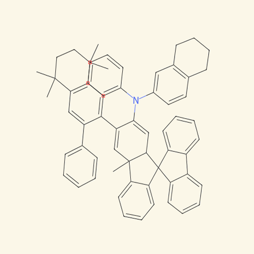 CC1(C)CCC(C)(C)c2cc(-c3ccccc3)c(C3=CC4(C)c5ccccc5C5(c6ccccc6-c6ccccc65)C4C=C3N(c3ccccc3)c3ccc4c(c3)CCCC4)cc21